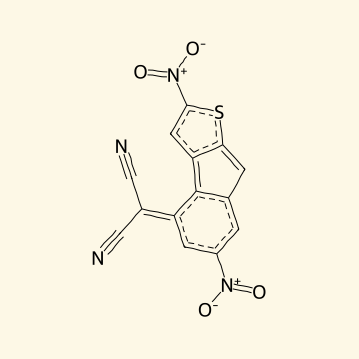 N#CC(C#N)=c1cc([N+](=O)[O-])cc2c1=c1cc([N+](=O)[O-])sc1=C2